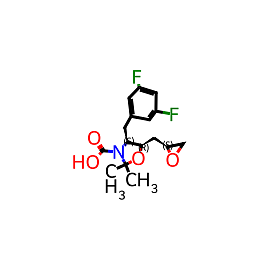 CC1(C)O[C@H](C[C@H]2CO2)[C@H](Cc2cc(F)cc(F)c2)N1C(=O)O